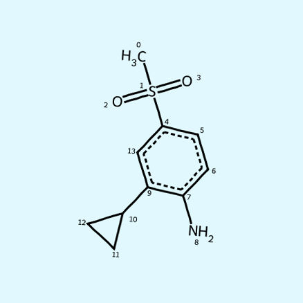 CS(=O)(=O)c1ccc(N)c(C2CC2)c1